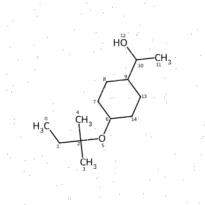 CCC(C)(C)OC1CCC(C(C)O)CC1